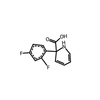 O=C(O)C1(c2ccc(F)cc2F)C=CC=CN1